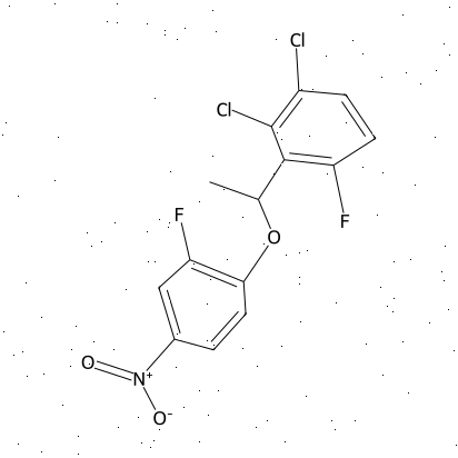 CC(Oc1ccc([N+](=O)[O-])cc1F)c1c(F)ccc(Cl)c1Cl